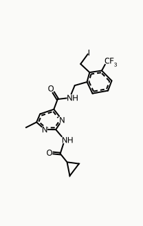 Cc1cc(C(=O)NCc2cccc(C(F)(F)F)c2CI)nc(NC(=O)C2CC2)n1